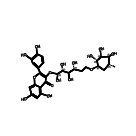 C[C@@H]1C[C@@H](OCC[C@@H](O)C(O)[C@@H](O)[C@@H](O)Oc2c(-c3ccc(O)c(O)c3)oc3cc(O)cc(O)c3c2=O)[C@H](O)[C@@H](O)[C@H]1O